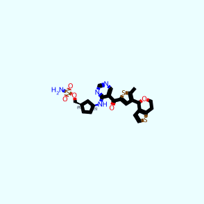 Cc1sc(C(=O)c2cncnc2N[C@H]2CC[C@@H](COS(N)(=O)=O)C2)cc1C1OCCc2sccc21